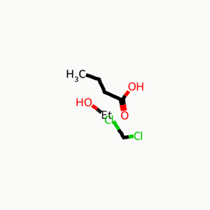 CCCC(=O)O.CCO.ClCCl